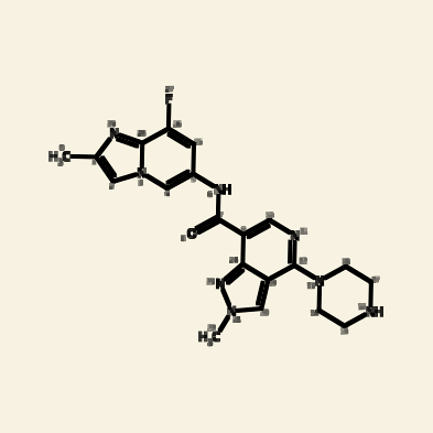 Cc1cn2cc(NC(=O)c3cnc(N4CCNCC4)c4cn(C)nc34)cc(F)c2n1